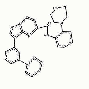 O=C(Nc1ccccc1N1CCNCC1)c1ccn2ncc(-c3cccc(-c4ccccc4)c3)c2n1